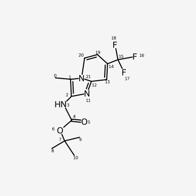 Cc1c(NC(=O)OC(C)(C)C)nc2cc(C(F)(F)F)ccn12